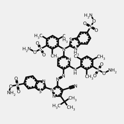 Cc1cc(C)c(S(=O)(=O)ON)c(C)c1Nc1nc(N(c2nc3ccc(S(=O)(=O)ON)cc3s2)c2c(C)cc(C)c(S(=O)(=O)ON)c2C)ccc1/N=N/c1c(C#N)c(C(C)(C)C)nn1-c1nc2ccc(S(=O)(=O)ON)cc2s1